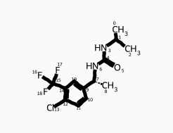 CC(C)NC(=O)N[C@H](C)c1ccc(Cl)c(C(F)(F)F)c1